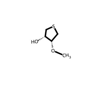 CO[C@H]1CSC[C@H]1O